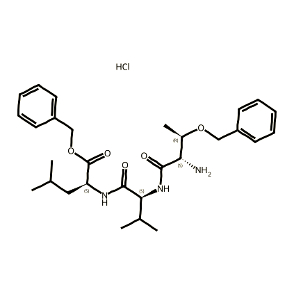 CC(C)C[C@H](NC(=O)[C@@H](NC(=O)[C@@H](N)[C@@H](C)OCc1ccccc1)C(C)C)C(=O)OCc1ccccc1.Cl